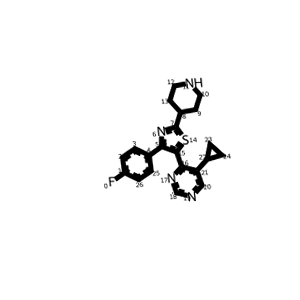 Fc1ccc(-c2nc(C3CCNCC3)sc2-c2n[c]ncc2C2CC2)cc1